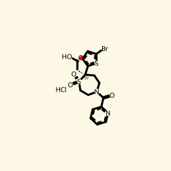 Cl.O=C(O)C[C@]1(c2ccc(Br)s2)CCN(C(=O)c2ccccn2)CCS1(=O)=O